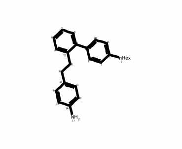 CCCCCCc1ccc(-c2ccccc2CCc2ccc(N)cc2)cc1